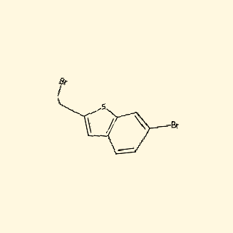 BrCc1cc2ccc(Br)cc2s1